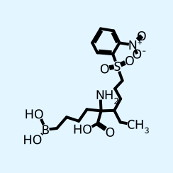 CCC(CCCS(=O)(=O)c1ccccc1[N+](=O)[O-])C(N)(CCCCB(O)O)C(=O)O